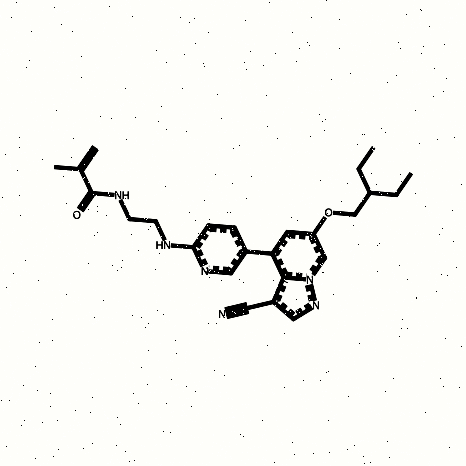 C=C(C)C(=O)NCCNc1ccc(-c2cc(OCC(CC)CC)cn3ncc(C#N)c23)cn1